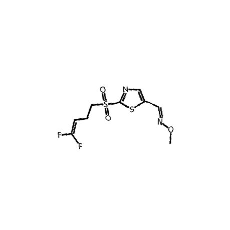 CON=Cc1cnc(S(=O)(=O)CCC=C(F)F)s1